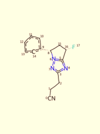 N#CCCc1nc2n(n1)[C@H](c1ccccc1)C[C@@H]2F